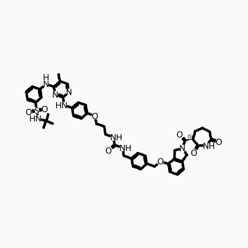 Cc1cnc(Nc2ccc(OCCCNC(=O)NCc3ccc(COc4cccc5c4CN(C(=O)[C@H]4CCCC(=O)NC4=O)C5)cc3)cc2)nc1Nc1cccc(S(=O)(=O)NC(C)(C)C)c1